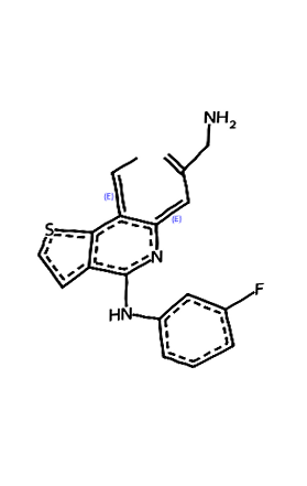 C=C(/C=c1/nc(Nc2cccc(F)c2)c2ccsc2/c1=C/C)CN